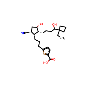 CCC1(C(O)CCC[C@@H]2[C@@H](CCCc3ccc(C(=O)O)s3)[C@@H](C#N)C[C@H]2O)CCC1